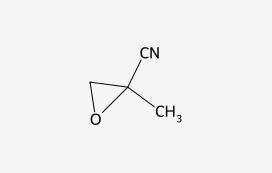 CC1(C#N)CO1